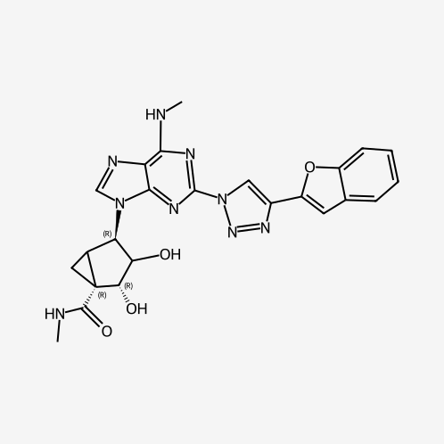 CNC(=O)[C@]12CC1[C@@H](n1cnc3c(NC)nc(-n4cc(-c5cc6ccccc6o5)nn4)nc31)C(O)[C@@H]2O